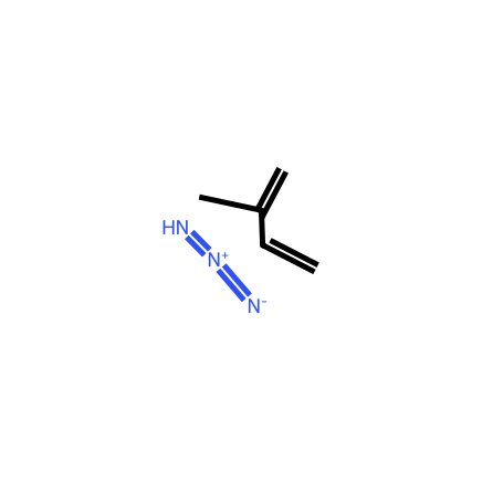 C=CC(=C)C.[N-]=[N+]=N